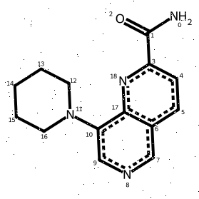 NC(=O)c1ccc2cncc(N3CCCCC3)c2n1